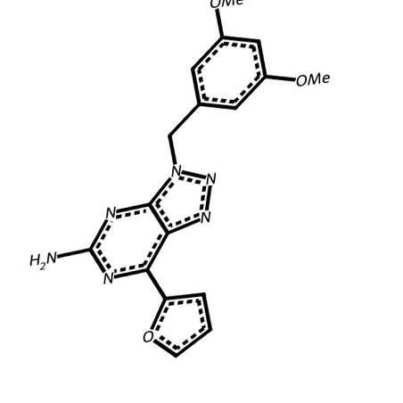 COc1cc(Cn2nnc3c(-c4ccco4)nc(N)nc32)cc(OC)c1